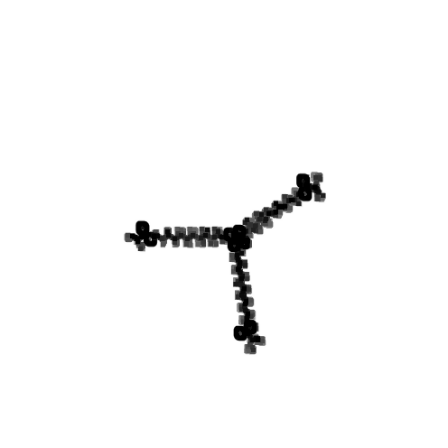 C=C(C)C(=O)OCCCCCCCCCCCCOP(=O)(OCCCCCCCCCCCCOC(=O)C(=C)C)OCCCCCCCCCCCCOC(=O)C(=C)C